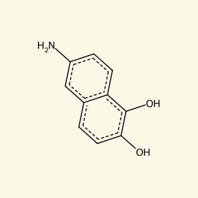 Nc1ccc2c(O)c(O)ccc2c1